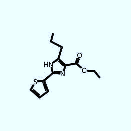 CCCc1[nH]c(-c2cccs2)nc1C(=O)OCC